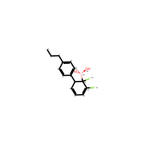 CCCc1ccc(C2C=CC=C(F)C2(F)B(O)O)cc1